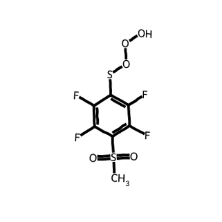 CS(=O)(=O)c1c(F)c(F)c(SOOO)c(F)c1F